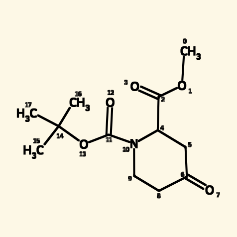 COC(=O)C1CC(=O)CCN1C(=O)OC(C)(C)C